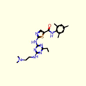 CCc1nc(NCCN(C)C)nc(Nc2ncc(C(=O)Nc3c(C)cc(C)cc3C)s2)n1